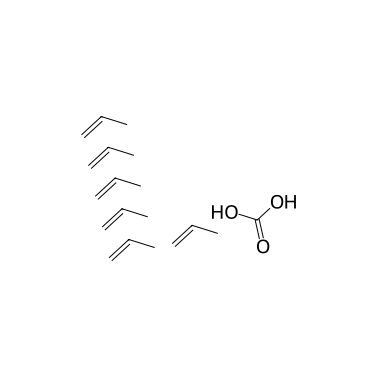 C=CC.C=CC.C=CC.C=CC.C=CC.C=CC.O=C(O)O